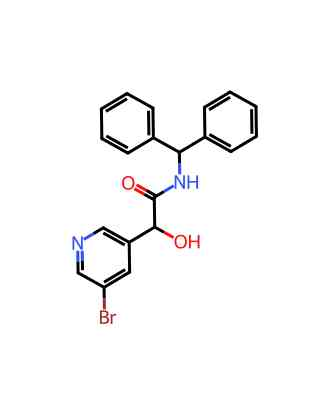 O=C(NC(c1ccccc1)c1ccccc1)C(O)c1cncc(Br)c1